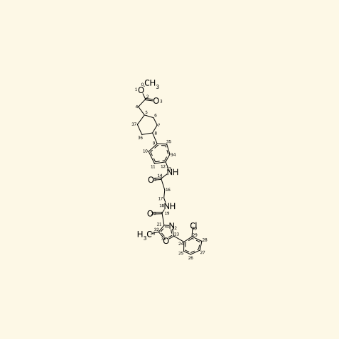 COC(=O)CC1CCC(c2ccc(NC(=O)CCNC(=O)c3nc(-c4ccccc4Cl)oc3C)cc2)CC1